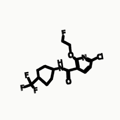 O=C(NC1CCC(C(F)(F)F)CC1)c1ccc(Cl)nc1OCCF